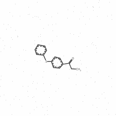 CCC(=O)c1ccc(Sc2ccccc2)cc1